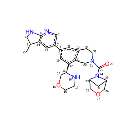 CC1CNc2ncc(-c3cc4c(c([C@@H]5COCCN5)c3)CN(C(=O)N3C5COCC3C5)CC4)cc21